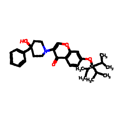 CC(C)[Si](Oc1ccc2c(=O)c(N3CCC(O)(c4ccccc4)CC3)coc2c1)(C(C)C)C(C)C